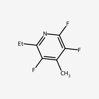 CCc1nc(F)c(F)c(C)c1F